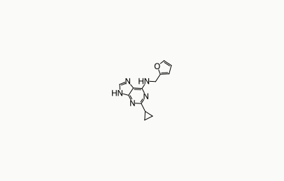 c1coc(CNc2nc(C3CC3)nc3[nH]cnc23)c1